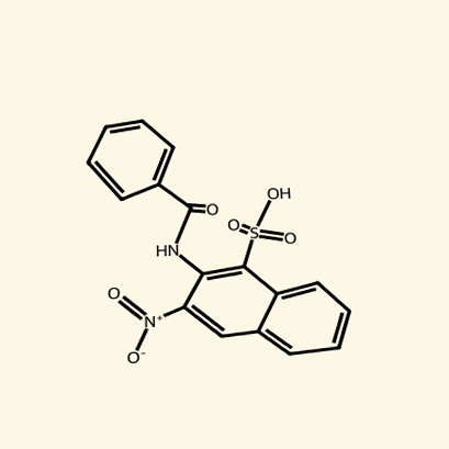 O=C(Nc1c([N+](=O)[O-])cc2ccccc2c1S(=O)(=O)O)c1ccccc1